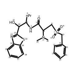 CCCC(NC(=O)C(CS(=O)(=O)Cc1ccccc1)N(C)C)C(O)c1nc2ccccc2s1